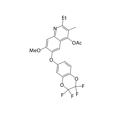 CCc1nc2cc(OC)c(Oc3ccc4c(c3)OC(F)(F)C(F)(F)O4)cc2c(OC(C)=O)c1C